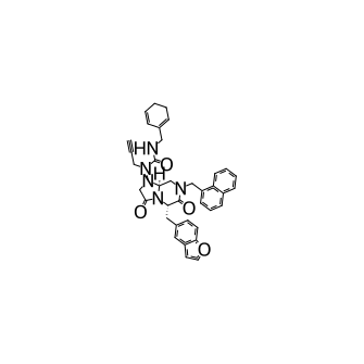 C#CCN(C(=O)NCC1=CCCC=C1)N1CC(=O)N2[C@@H](Cc3ccc4occc4c3)C(=O)N(Cc3cccc4ccccc34)C[C@@H]21